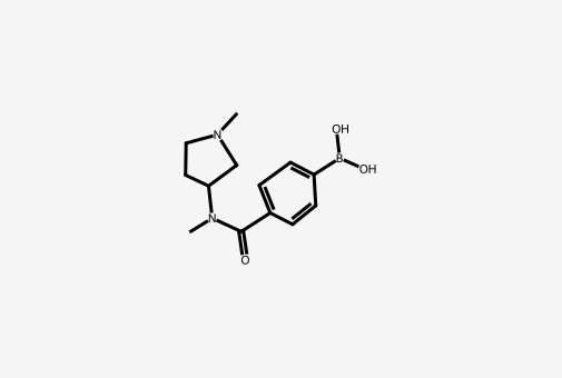 CN1CCC(N(C)C(=O)c2ccc(B(O)O)cc2)C1